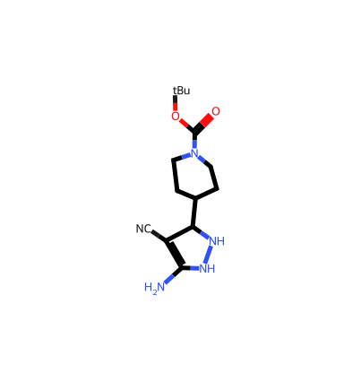 CC(C)(C)OC(=O)N1CCC(C2NNC(N)=C2C#N)CC1